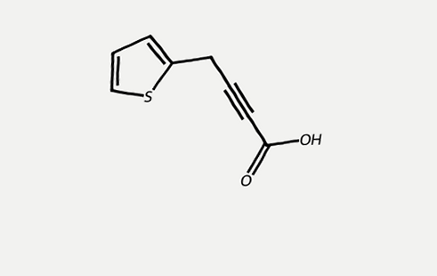 O=C(O)C#CCc1cccs1